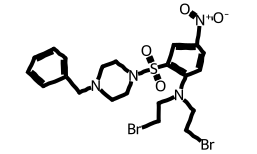 O=[N+]([O-])c1ccc(N(CCBr)CCBr)c(S(=O)(=O)N2CCN(Cc3ccccc3)CC2)c1